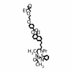 C=CC(=O)N(/N=C/C(C)CC(CCC)CCCc1ccc2c(Cl)c(OC(=O)c3ccc(OCCCOCC4(CC)COC4)cc3)ccc2c1)c1nc2ccccc2s1